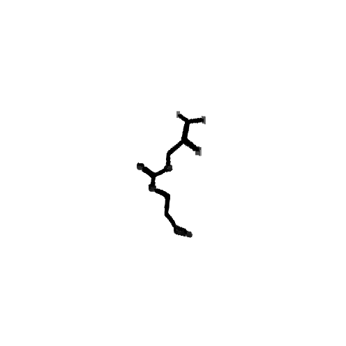 COCCOC(=O)OCC(I)=C(I)I